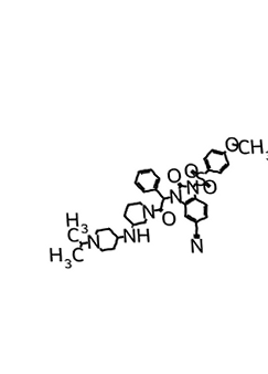 COc1ccc(S(=O)(=O)n2c(=O)n(C(C(=O)N3CCC[C@@H](NC4CCN(C(C)C)CC4)C3)c3ccccc3)c3cc(C#N)ccc32)cc1